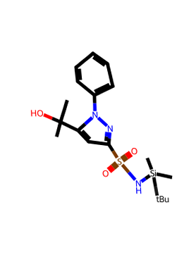 CC(C)(O)c1cc(S(=O)(=O)N[Si](C)(C)C(C)(C)C)nn1-c1ccccc1